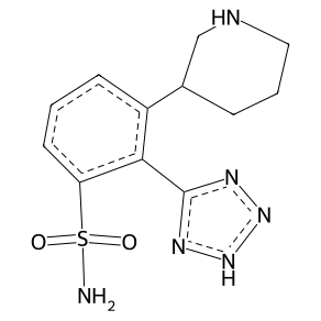 NS(=O)(=O)c1cccc(C2CCCNC2)c1-c1nn[nH]n1